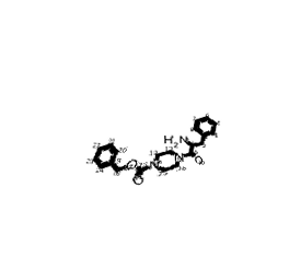 NC(Cc1ccccc1)C(=O)N1CCN(C(=O)OCc2ccccc2)CC1